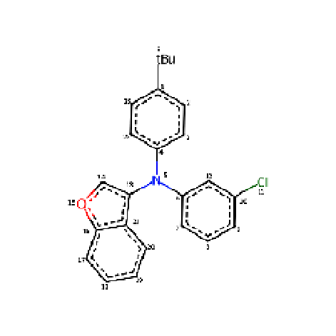 CC(C)(C)c1ccc(N(c2cccc(Cl)c2)c2coc3ccccc23)cc1